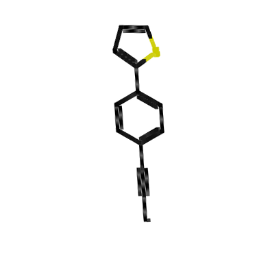 [CH2]C#Cc1ccc(-c2cccs2)cc1